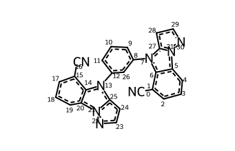 N#Cc1cccc2c1n(-c1cccc(-n3c4c(C#N)cccc4n4nccc34)c1)c1ccnn21